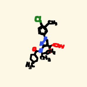 Cc1cc(-n2cc(C(=O)O)c(N(C(=O)C3CCC(C)CC3)C(C)C)n2)ccc1Cl